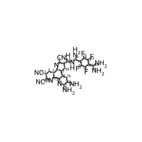 N#Cc1cc2c3nc(C#N)c(NNC(N)=c4c(F)c(F)c(=C(N)N)c(F)c4F)cc3c3cc(N)c(N)nc3c2nc1C#N